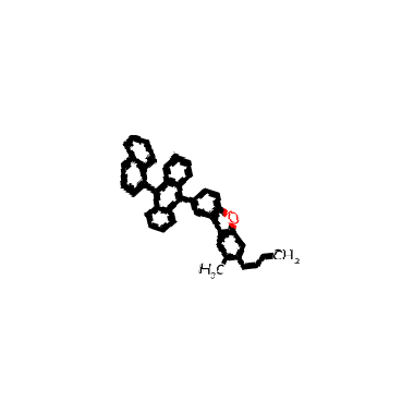 C=C/C=C\c1cc2oc3ccc(-c4c5ccccc5c(-c5cccc6ccccc56)c5ccccc45)cc3c2cc1C